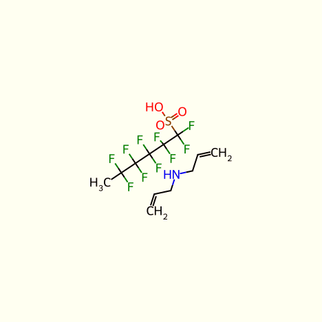 C=CCNCC=C.CC(F)(F)C(F)(F)C(F)(F)C(F)(F)C(F)(F)S(=O)(=O)O